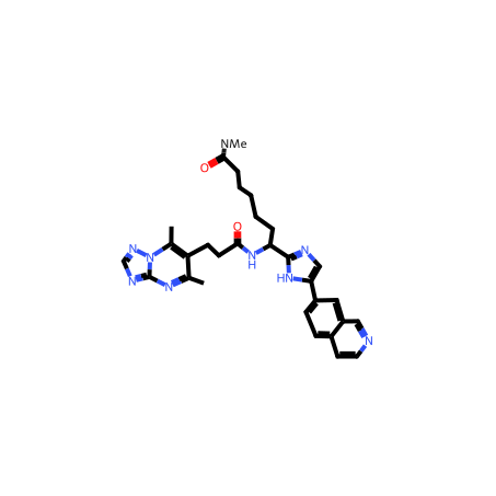 CNC(=O)CCCCCC(NC(=O)CCc1c(C)nc2ncnn2c1C)c1ncc(-c2ccc3ccncc3c2)[nH]1